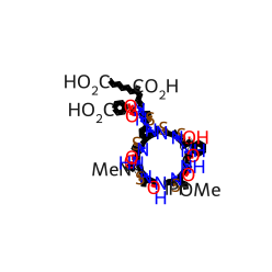 CNC(=O)C[C@@H]1NC(=O)c2csc(n2)-c2ccc(-c3nc(N(CCCC(CCCCCCC(=O)O)C(=O)O)C(=O)OC4CCC(C(=O)O)CC4)cs3)nc2-c2csc(n2)-c2csc(n2)[C@H]([C@@H](O)c2ccccc2)NC(=O)CNC(=O)c2nc(sc2COC)[C@H](C(C)C)NC(=O)c2nc1sc2C